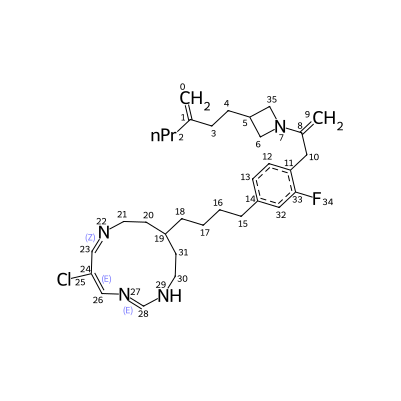 C=C(CCC)CCC1CN(C(=C)Cc2ccc(CCCCC3CC\N=C/C(Cl)=C\N=C\NCC3)cc2F)C1